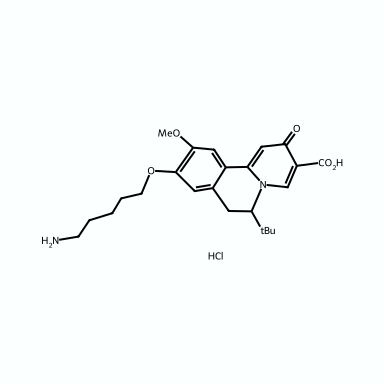 COc1cc2c(cc1OCCCCCN)CC(C(C)(C)C)n1cc(C(=O)O)c(=O)cc1-2.Cl